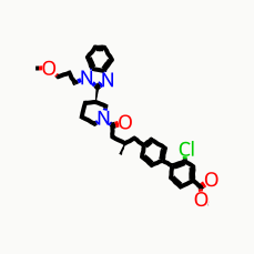 COCCCn1c([C@@H]2CCCN(C(=O)C[C@H](C)Cc3ccc(-c4ccc(C(=O)OC)cc4Cl)cc3)C2)nc2ccccc21